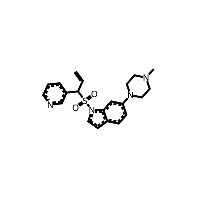 C=CC(c1cccnc1)S(=O)(=O)n1ccc2ccc(N3CCN(C)CC3)cc21